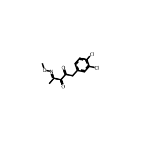 CON=C(C)C(=O)C(=O)Cc1ccc(Cl)c(Cl)c1